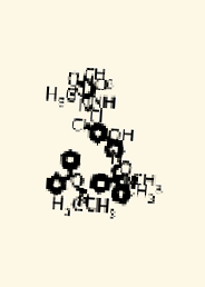 CN(C)C(=O)C(CCN1CCC(O)(c2ccc(Cl)cc2)CC1)(c1ccccc1)c1ccccc1.CN(C)CCOC(c1ccccc1)c1ccccc1.Cn1c(=O)c2[nH]c(Cl)nc2n(C)c1=O